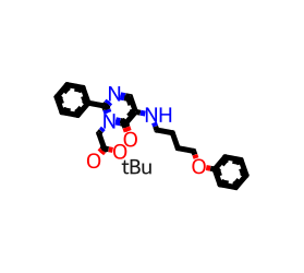 CC(C)(C)OC(=O)Cn1c(-c2ccccc2)ncc(NCCCCOc2ccccc2)c1=O